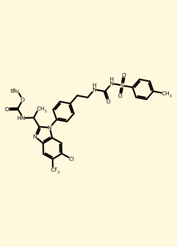 Cc1ccc(S(=O)(=O)NC(=O)NCCc2ccc(-n3c(C(C)NC(=O)OC(C)(C)C)nc4cc(C(F)(F)F)c(Cl)cc43)cc2)cc1